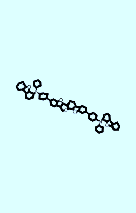 c1ccc(N(c2ccc(-c3ccc4c(c3)oc3c4ccc4c3ccc3c5ccc(-c6ccc(N(c7ccccc7)c7cccc8c7oc7ccccc78)cc6)cc5oc34)cc2)c2cccc3c2oc2ccccc23)cc1